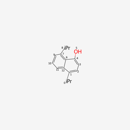 CC(C)c1ccc(O)c2c(C(C)C)cccc12